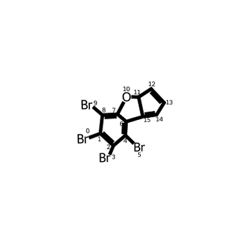 Brc1c(Br)c(Br)c2c(c1Br)OC1C=CC=C21